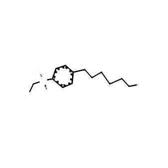 CCCCCCCc1ccc([Si](Cl)(Cl)CC)cc1